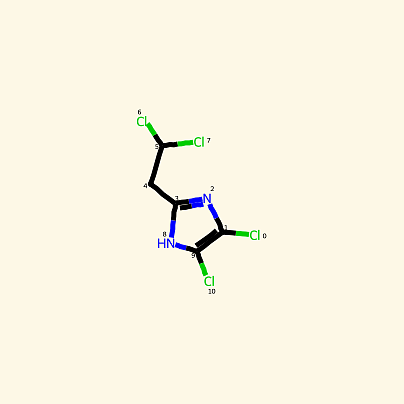 Clc1nc(CC(Cl)Cl)[nH]c1Cl